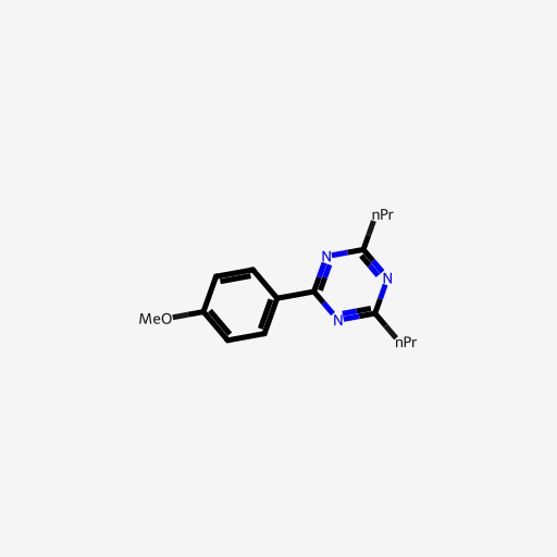 CCCc1nc(CCC)nc(-c2ccc(OC)cc2)n1